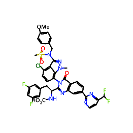 COc1ccc(CN(c2nn(C)c3c(-n4c([C@H](Cc5cc(F)cc(F)c5)NC(=O)O)nc5cc(-c6nccc(C(F)F)n6)ccc5c4=O)ccc(Cl)c23)S(C)(=O)=O)cc1